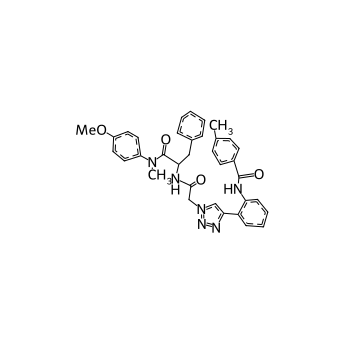 COc1ccc(N(C)C(=O)C(Cc2ccccc2)NC(=O)Cn2cc(-c3ccccc3NC(=O)c3ccc(C)cc3)nn2)cc1